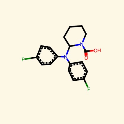 O=C(O)N1CCCCC1N(c1ccc(F)cc1)c1ccc(F)cc1